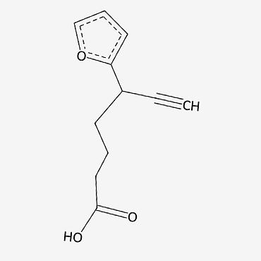 C#CC(CCCC(=O)O)c1ccco1